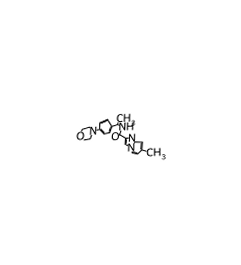 Cc1ccn2cc(C(=O)NC(C)c3ccc(N4CCOCC4)cc3)nc2c1